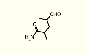 CC(C=O)CC(C)C(N)=O